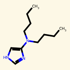 CCCCN(CCCC)c1c[nH][c]n1